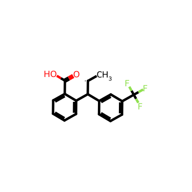 C[CH]C(c1cccc(C(F)(F)F)c1)c1ccccc1C(=O)O